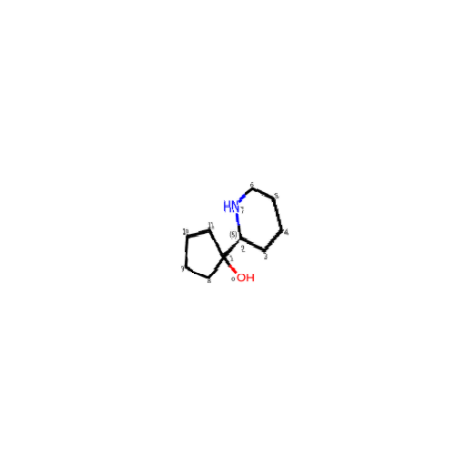 OC1([C@@H]2CCCCN2)CCCC1